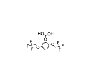 FC(F)(F)COc1ccc(OCC(F)(F)F)cc1.O=C(O)O